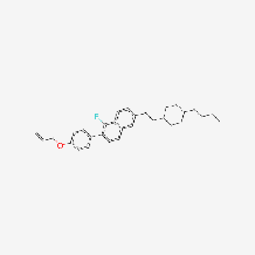 C=CCOc1ccc(-c2ccc3cc(CCC4CCC(CCCC)CC4)ccc3c2F)cc1